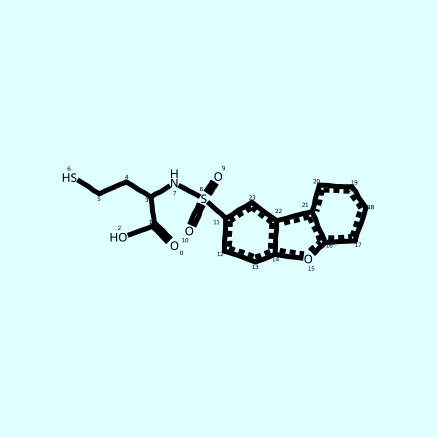 O=C(O)C(CCS)NS(=O)(=O)c1ccc2oc3ccccc3c2c1